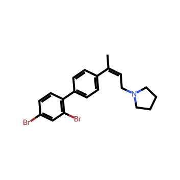 C/C(=C/CN1CCCC1)c1ccc(-c2ccc(Br)cc2Br)cc1